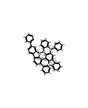 c1ccc(-c2ccc3c4ccc(-c5ccccc5)c5c4n(c3c2)B2c3ccccc3N(c3ccccc3)c3cc4c(oc6ccccc64)c-5c32)cc1